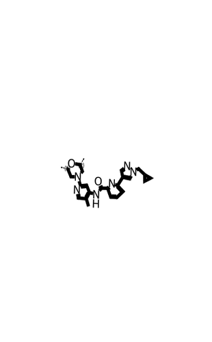 Cc1cnc(N2C[C@@H](C)O[C@@H](C)C2)cc1NC(=O)c1cccc(-c2cnn(CC3CC3)c2)n1